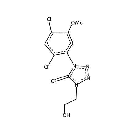 COc1cc(-n2nnn(CCO)c2=O)c(Cl)cc1Cl